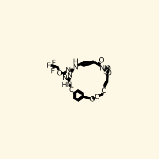 O=C1NS(=O)(=O)C/C=C/CCCOc2ccc(cc2)CNc2nc(nc(OCC(F)(F)F)n2)Nc2ccc1cc2